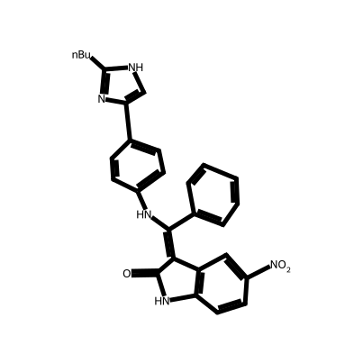 CCCCc1nc(-c2ccc(N/C(=C3\C(=O)Nc4ccc([N+](=O)[O-])cc43)c3ccccc3)cc2)c[nH]1